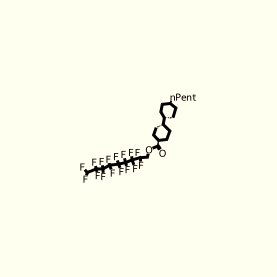 CCCCC[C@H]1CC[C@H]([C@H]2CC[C@H](C(=O)OCC(F)(F)C(F)(F)C(F)(F)C(F)(F)C(F)(F)C(F)(F)C(F)(F)C(F)F)CC2)CC1